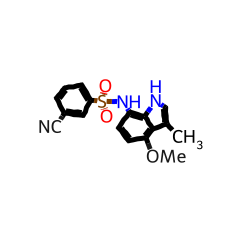 COc1ccc(NS(=O)(=O)c2cccc(C#N)c2)c2[nH]cc(C)c12